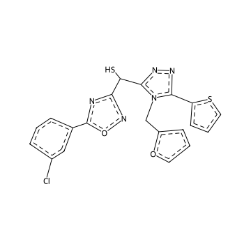 SC(c1noc(-c2cccc(Cl)c2)n1)c1nnc(-c2cccs2)n1Cc1ccco1